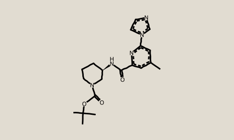 Cc1cc(C(=O)N[C@@H]2CCCN(C(=O)OC(C)(C)C)C2)nc(-n2ccnc2)c1